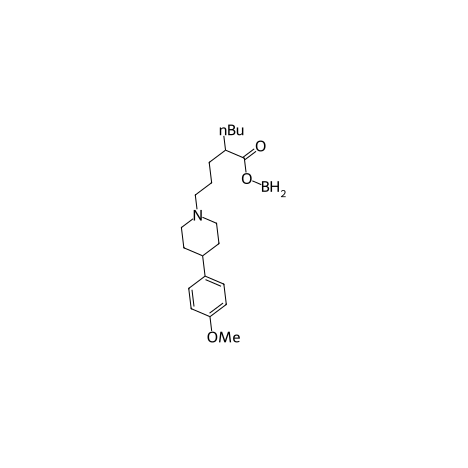 BOC(=O)C(CCCC)CCCN1CCC(c2ccc(OC)cc2)CC1